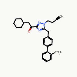 C#CCCn1nc(C(=O)CC2CCCCC2)nc1Cc1ccc(-c2ccccc2C(=O)O)cc1